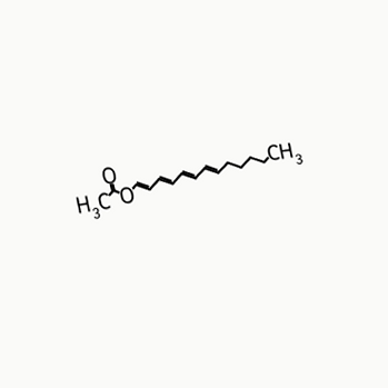 CCCCCC=CC=CC=CC=COC(C)=O